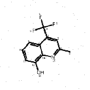 Cc1cc(C(F)(F)F)c2cccc(O)c2n1